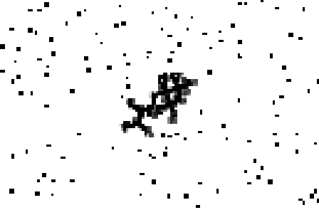 O=P(CCC(F)=C(F)F)(C(F)(F)C(F)(F)F)C(F)(F)C(F)(F)F